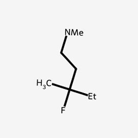 CCC(C)(F)CCNC